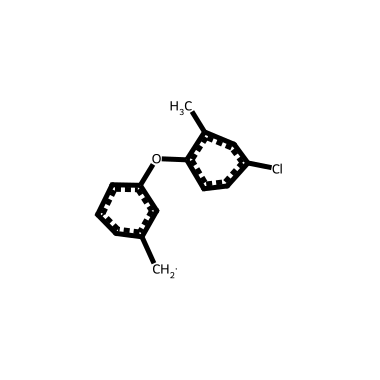 [CH2]c1cccc(Oc2ccc(Cl)cc2C)c1